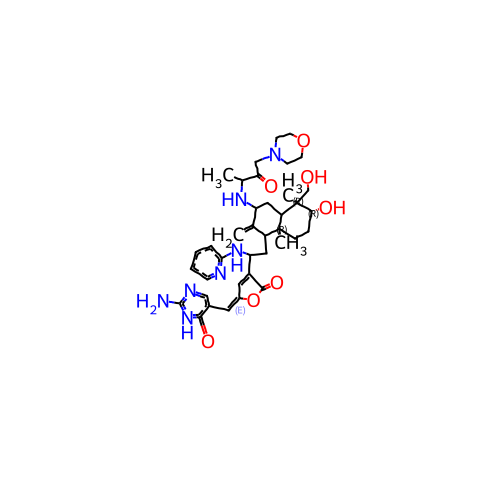 C=C1C(NC(C)C(=O)CN2CCOCC2)CC2[C@](C)(CC[C@@H](O)[C@@]2(C)CO)C1CC(Nc1ccccn1)C1=C/C(=C\c2cnc(N)[nH]c2=O)OC1=O